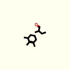 CC1=C(C)C(C)CCC1.CCC(C)C=O